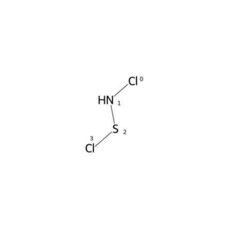 ClNSCl